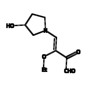 CCOC(=CN1CCC(O)C1)C(=O)C=O